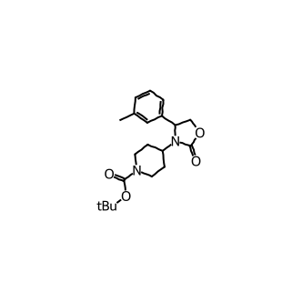 Cc1cccc(C2COC(=O)N2C2CCN(C(=O)OC(C)(C)C)CC2)c1